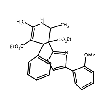 CCOC(=O)C1=C(C)NC(C)C(C(=O)OCC)(c2nc(-c3ccccc3OC)cs2)C1c1ccccc1